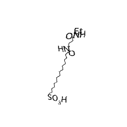 CCNC(=O)CCCNC(=O)CCCCCCCCCCCCCCCS(=O)(=O)O